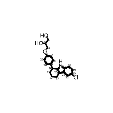 OCC(O)COc1ccc(C2CCCc3c2[nH]c2ccc(Cl)cc32)cc1